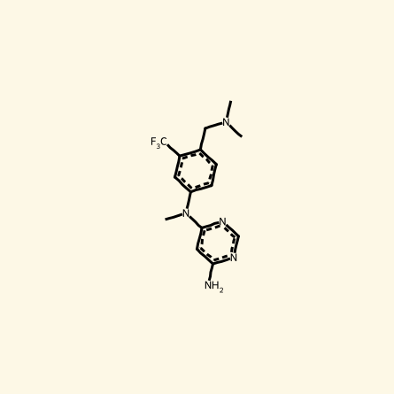 CN(C)Cc1ccc(N(C)c2cc(N)ncn2)cc1C(F)(F)F